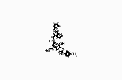 Cc1ccc(NC(=O)CN(CCN(CC(=O)O)CC(=O)NCCCCN(Cc2ccccn2)Cc2ccccn2)CC(=O)O)cc1